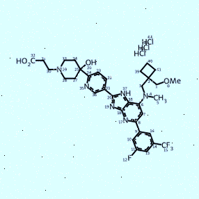 COCC1(CN(C)c2cc(-c3cc(F)cc(C(F)(F)F)c3)nc3nc(-c4ccc(C5(O)CCN(CCC(=O)O)CC5)nc4)[nH]c23)CCC1.Cl.Cl.Cl